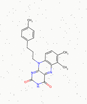 Cc1ccc(CCCn2c3nc(=O)[nH]c(=O)c-3nc3c(C)c(C)ccc32)cc1